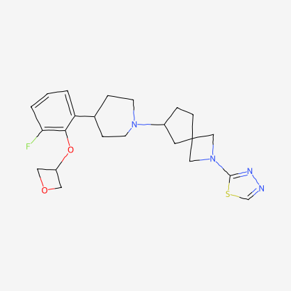 Fc1cccc(C2CCN(C3CCC4(C3)CN(c3nncs3)C4)CC2)c1OC1COC1